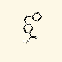 NC(=O)c1ccc(/C=C\c2ccccc2)cc1